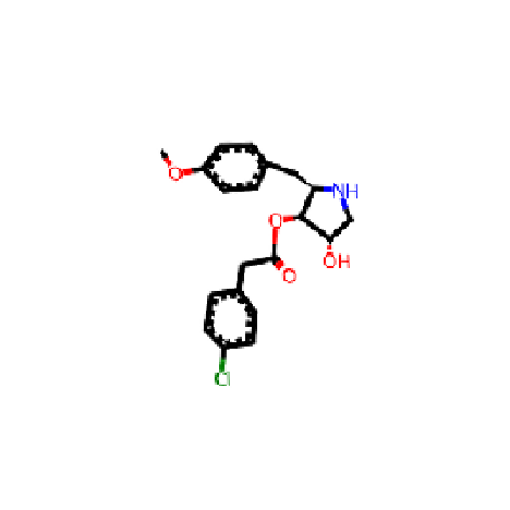 COc1ccc(C[C@H]2NC[C@H](O)[C@H]2OC(=O)Cc2ccc(Cl)cc2)cc1